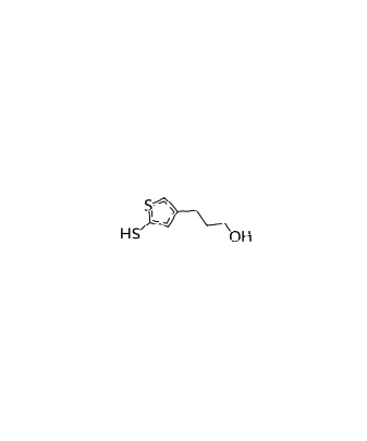 OCCCc1csc(S)c1